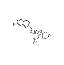 COC1(c2cc(OCc3ccc4ccc(F)cc4c3)cc(C(F)(F)F)c2)CCOCC1